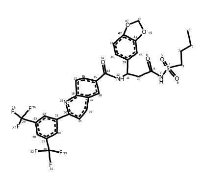 CCCCS(=O)(=O)NC(=O)CC(NC(=O)c1ccc2nc(-c3cc(C(F)(F)F)cc(C(F)(F)F)c3)ccc2c1)c1ccc2c(c1)OCO2